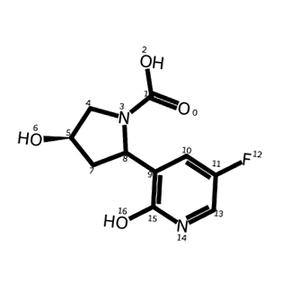 O=C(O)N1C[C@H](O)CC1c1cc(F)cnc1O